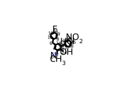 C/N=C/c1cc(Cc2ccc(F)cc2)cc(-c2cccc([N+](=O)[O-])c2)c1O.Cl